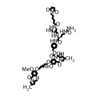 C=C1CC2C=Nc3cc(OCCCCCOc4cc5c(cc4OC)C(=O)N4CC(=C)C[C@H]4[C@H](O)N5C(=O)OCc4ccc(NC(=O)[C@H](CCCNC(N)=O)N/C=C(/CNC(=O)CCCCCN5C(=O)C=CC5=O)N=N)cc4)c(OC)cc3C(=O)N2C1